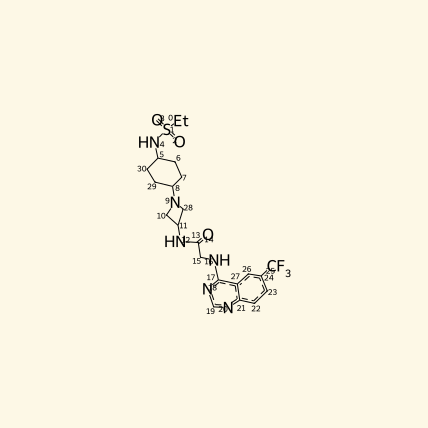 CCS(=O)(=O)NC1CCC(N2CC(NC(=O)CNc3ncnc4ccc(C(F)(F)F)cc34)C2)CC1